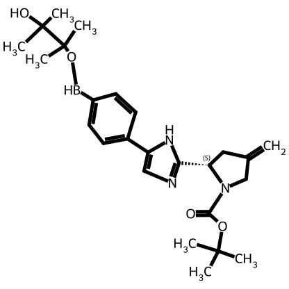 C=C1C[C@@H](c2ncc(-c3ccc(BOC(C)(C)C(C)(C)O)cc3)[nH]2)N(C(=O)OC(C)(C)C)C1